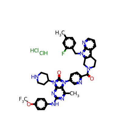 Cc1ccc(Cn2c3c(c4cccnc42)CCN(C(=O)c2ccc(-n4c(=O)n(C5CCNCC5)c5nc(Nc6ccc(OC(F)(F)F)cc6)nc(C)c54)cn2)C3)c(F)c1.Cl.Cl